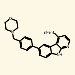 CCCCCc1ccnc2[nH]c3ccc(-c4ccc(CN5CCOCC5)cc4)cc3c12